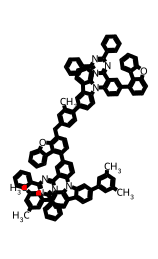 Cc1cc(C)cc(-c2ccc3c4ccc(-c5cc(C)cc(C)c5)cc4n(-c4ccc(-c5ccc(Cc6ccc(-c7ccc8c(c7)c7ccccc7n8-c7ccc(-c8cccc9oc%10ccccc%10c89)cc7-c7nc(-c8ccccc8)nc(-c8ccccc8)n7)c(C)c6)c6oc7ccccc7c56)cc4-c4nc(-c5ccccc5)nc(-c5ccccc5)n4)c3c2)c1